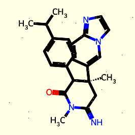 CC(C)c1ccc(C2C(=O)N(C)C(=N)C[C@]2(C)c2ccc3nccn3c2)cc1